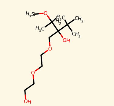 CC(C)(C)C(O)(COCCOCCO)C(C)(C)O[SiH3]